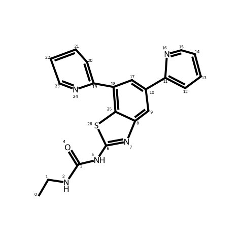 CCNC(=O)Nc1nc2cc(-c3ccccn3)cc(-c3ccccn3)c2s1